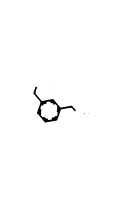 COCc1cccc(CC(=O)O)c1